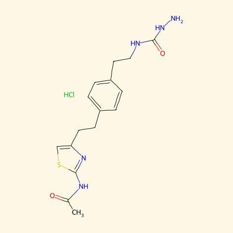 CC(=O)Nc1nc(CCc2ccc(CCNC(=O)NN)cc2)cs1.Cl